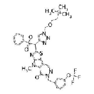 Cn1c2nc(C(c3cn(COCC[Si](C)(C)C)nn3)S(=O)(=O)c3ccccc3)sc2c2cnn(Cc3cccc(OC(F)(F)F)c3)c(=O)c21